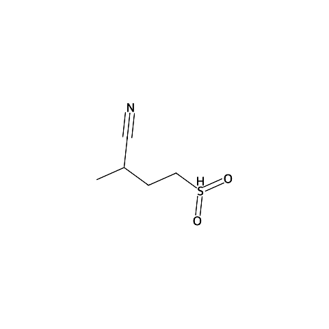 CC(C#N)CC[SH](=O)=O